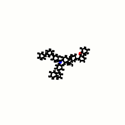 CC1(C)c2cc(-c3cccc4c3oc3ccccc34)ccc2-c2ccc(N(c3ccc(-c4cccc(-c5ccccc5)c4)cc3)c3ccc(-c4cccc5ccccc45)cc3)cc21